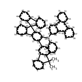 CC1(C)c2ccccc2-c2cc(-c3cc4c(cc3N(c3ccccc3)c3ccc5c6ccccc6c6ccccc6c5c3)C3(c5ccccc5-c5ccccc53)c3ccccc3-4)ccc21